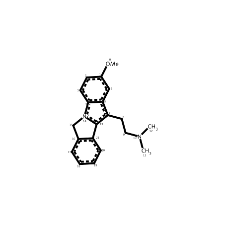 COc1ccc2c(c1)c(CCN(C)C)c1n2Cc2ccccc2-1